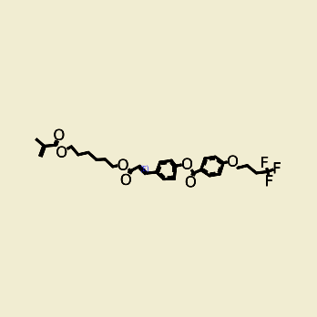 C=C(C)C(=O)OCCCCCCOC(=O)/C=C/c1ccc(OC(=O)c2ccc(OCCCC(F)(F)F)cc2)cc1